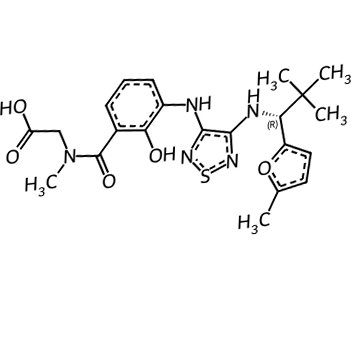 Cc1ccc([C@H](Nc2nsnc2Nc2cccc(C(=O)N(C)CC(=O)O)c2O)C(C)(C)C)o1